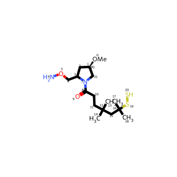 CO[C@@H]1CC(CON)N(C(=O)CCC(C)(C)CC(C)(C)SS)C1